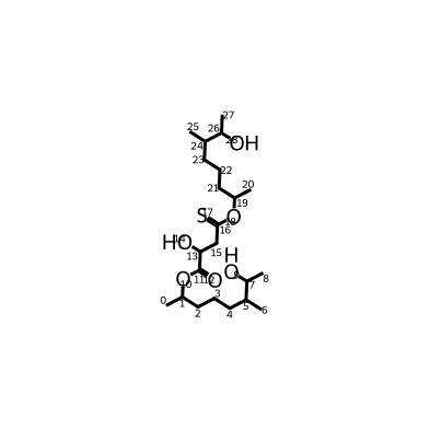 CC(CCCC(C)C(C)O)OC(=O)C(O)CC(=S)OC(C)CCCC(C)C(C)O